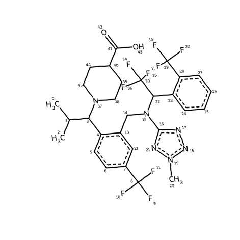 CC(C)C(c1ccc(C(F)(F)F)cc1CN(c1nnn(C)n1)C(c1ccccc1C(F)(F)F)C(F)(F)F)N1CCC(C(=O)O)CC1